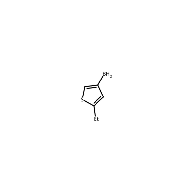 Bc1csc(CC)c1